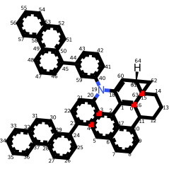 C1=C(c2cccc3cccc(C4CCCCC4)c23)C(N(c2ccc(-c3cccc4c3ccc3ccccc34)cc2)c2cccc(-c3cccc4c3ccc3ccccc34)c2)=C[C@@H]2CC12